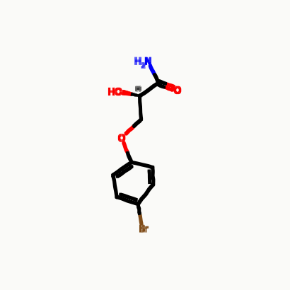 NC(=O)[C@H](O)COc1ccc(Br)cc1